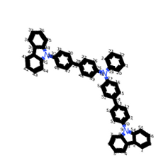 C1=CC2C3C=CC=CC3N(c3ccc(-c4ccc(N(c5ccccc5)c5ccc(-c6ccc(N7C8C=CC=CC8C8C=CC=CC87)cc6)cc5)cc4)cc3)C2C=C1